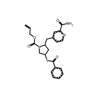 C=CCOC(=O)N1CC(SC(=O)c2ccccc2)CC1Cc1ccnc(C(N)=O)c1